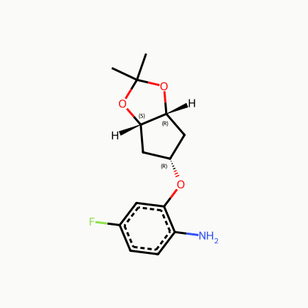 CC1(C)O[C@H]2C[C@@H](Oc3cc(F)ccc3N)C[C@H]2O1